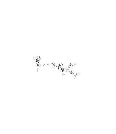 C=C(NCCOCCOCCOCC(=C)N1CCC(CNc2ccc(S(=O)(=O)NC(=O)c3ccc(N4CCN(CC5=C(c6ccc(Cl)cc6)CC(C)(C)CC5)CC4)cc3Oc3cnc4[nH]ccc4c3)cc2[N+](=O)[O-])CC1)C1=C(C)C(=O)N(C2CCC(=O)NC2=O)C1=O